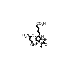 NC(=O)CCO.O=C(O)CCCC[C@@H]1SC[C@@H]2NC(=O)N[C@@H]21